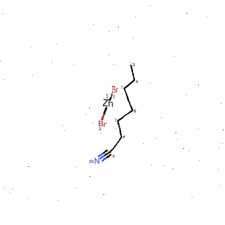 [Br][Zn][Br].[CH2]CCCCCC#N